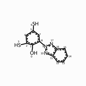 Oc1c(S)cc(S)cc1-n1nc2ccccc2n1